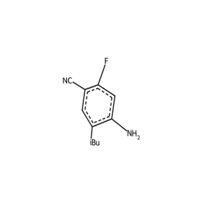 CCC(C)c1cc(C#N)c(F)cc1N